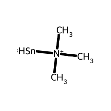 C[N+](C)(C)[SnH]